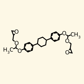 CC(OCC1CO1)Oc1ccc(C2CCC(c3ccc(OC(C)OCC4CO4)cc3)CC2)cc1